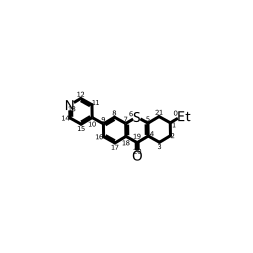 CCC1CCc2c(sc3cc(-c4ccncc4)ccc3c2=O)C1